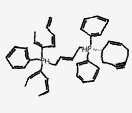 C=C/C=C\C(=C/C)[PH](C/C=C/C[PH](c1ccccc1)(c1ccccc1)[C@@H]1C=CCC#CC1)(C(/C=C\C)=C/C)c1ccccc1